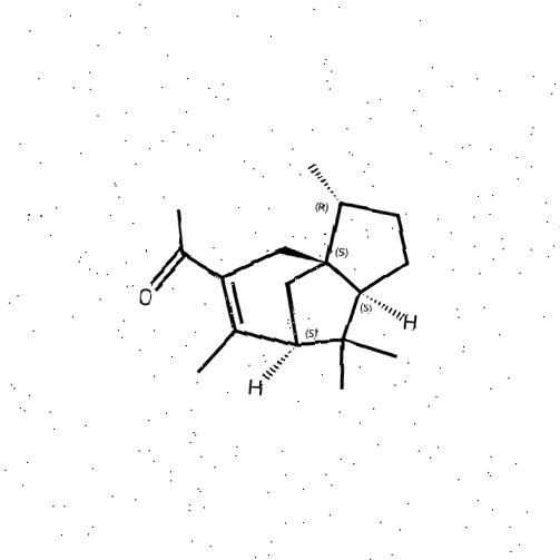 CC(=O)C1=C(C)[C@H]2C[C@]3(C1)[C@H](C)CC[C@H]3C2(C)C